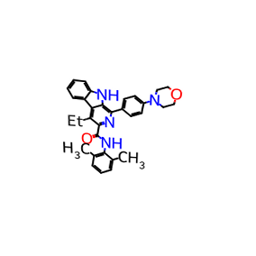 CCc1c(C(=O)Nc2c(C)cccc2C)nc(-c2ccc(N3CCOCC3)cc2)c2[nH]c3ccccc3c12